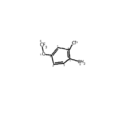 Bc1ccc(OC(F)(F)F)cc1Cl